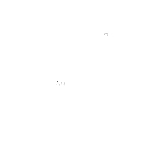 Cc1ccccc1CCCNCc1ccccc1